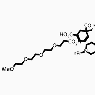 CC1(C(=O)O)C=CC=C(C(=O)O)C1.CCCN1CCCCC1.COCCOCCOCCOCCC(=O)O